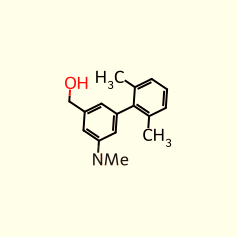 CNc1cc(CO)cc(-c2c(C)cccc2C)c1